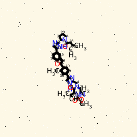 CCCN(Cc1nc(-c2ccc(-c3cc4cc(-c5cnc([C@@H]6CCCN6C(=O)CC(C)C)[nH]5)ccc4o3)c(C)c2)c[nH]1)C(=O)[C@@H](NC(=O)OC)C(C)C